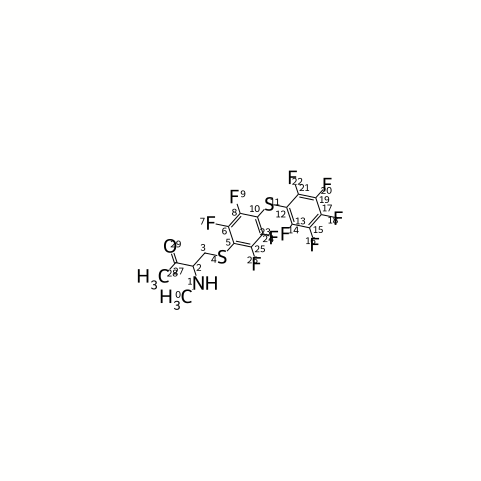 CNC(CSc1c(F)c(F)c(Sc2c(F)c(F)c(F)c(F)c2F)c(F)c1F)C(C)=O